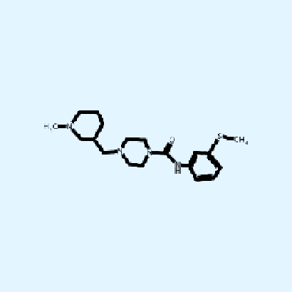 CSc1cccc(NC(=O)N2CCN(CC3CCCN(C)C3)CC2)c1